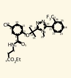 CCOC(=O)CCNC(=O)c1cc(Cl)ccc1OC(C)(C)c1nnc(-c2ccccc2C(F)(F)F)n1C